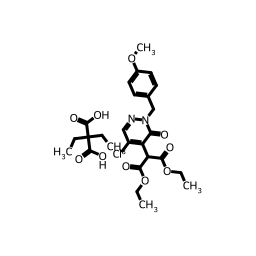 CCC(CC)(C(=O)O)C(=O)O.CCOC(=O)C(C(=O)OCC)c1c(Cl)cnn(Cc2ccc(OC)cc2)c1=O